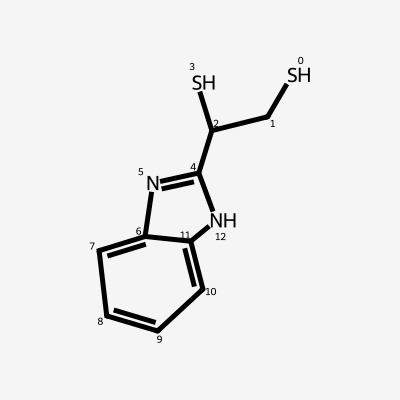 SCC(S)c1nc2ccccc2[nH]1